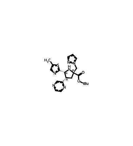 Cc1cnc([C@@H]2N[C@](Cn3cccn3)(C(=O)OC(C)(C)C)C[C@@H]2c2cnccn2)s1